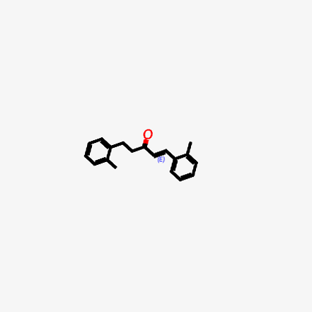 Cc1ccccc1/C=C/C(=O)CCc1ccccc1C